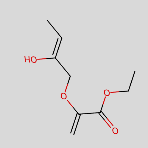 C=C(OCC(O)=CC)C(=O)OCC